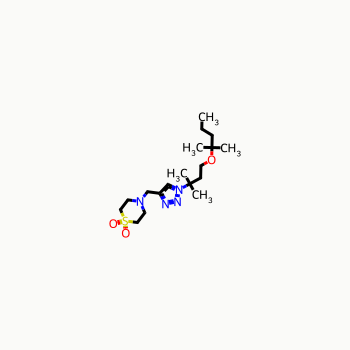 CCCC(C)(C)OCCC(C)(C)n1cc(CN2CCS(=O)(=O)CC2)nn1